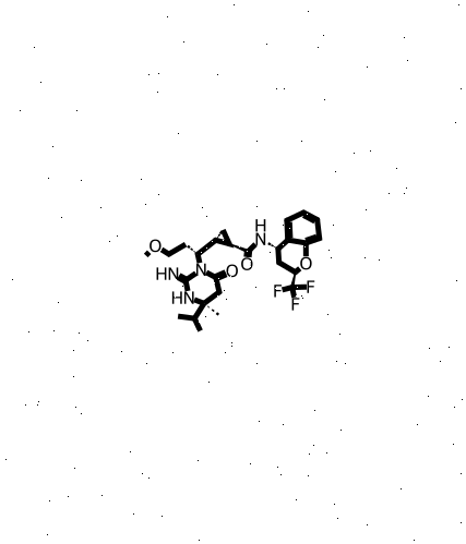 COCC[C@H]([C@@H]1C[C@H]1C(=O)N[C@H]1C[C@H](C(F)(F)F)Oc2ccccc21)N1C(=N)N[C@](C)(C(C)C)CC1=O